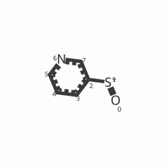 O=[S+]c1cccnc1